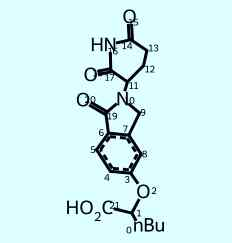 CCCCC(Oc1ccc2c(c1)CN(C1CCC(=O)NC1=O)C2=O)C(=O)O